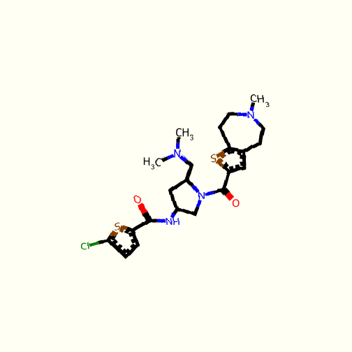 CN(C)CC1CC(NC(=O)c2ccc(Cl)s2)CN1C(=O)c1cc2c(s1)CCN(C)CC2